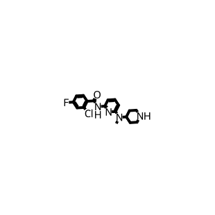 CN(c1cccc(NC(=O)c2ccc(F)cc2Cl)n1)C1CCNCC1